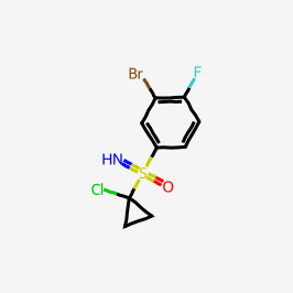 N=S(=O)(c1ccc(F)c(Br)c1)C1(Cl)CC1